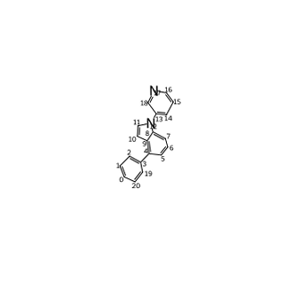 c1ccc(-c2cccc3c2ccn3-c2cccnc2)cc1